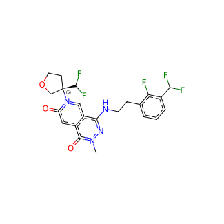 Cn1nc(NCCc2cccc(C(F)F)c2F)c2cn([C@@]3(C(F)F)CCOC3)c(=O)cc2c1=O